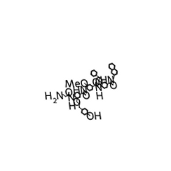 COc1cc(C(=O)Nc2ccc(C(=O)NCc3ccc4ccccc4c3)cc2OCc2ccccc2)ccc1NC(=O)c1ccc(NC(=O)CCN)c(OCCc2ccc(O)cc2)c1